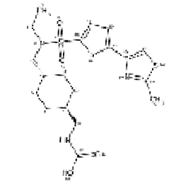 CCN(C[C@H]1CC[C@H](CNC(=O)O)CC1)S(=O)(=O)c1ccc(-c2csc(C)n2)s1